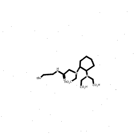 CC(C)(C)CCNC(=O)CN(CC(=O)O)C1CCCCC1N(CC(=O)O)CC(=O)O